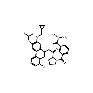 CN(C)C(=O)c1cccc(C(=O)N2CCCC2C(=O)OC(Cc2c(Cl)cncc2Cl)c2ccc(OC(F)F)c(OCC3CC3)c2)c1